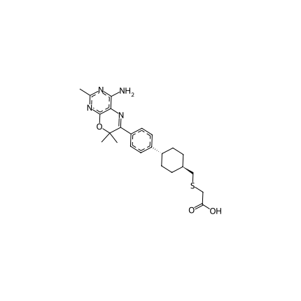 Cc1nc(N)c2c(n1)OC(C)(C)C(c1ccc([C@H]3CC[C@H](CSCC(=O)O)CC3)cc1)=N2